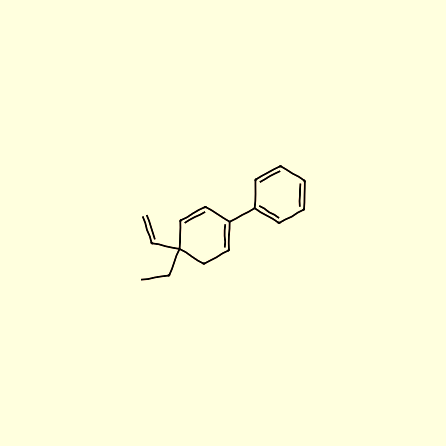 C=CC1(CC)C=CC(c2ccccc2)=CC1